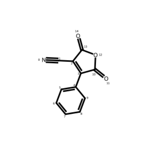 N#CC1=C(c2ccccc2)C(=O)OC1=O